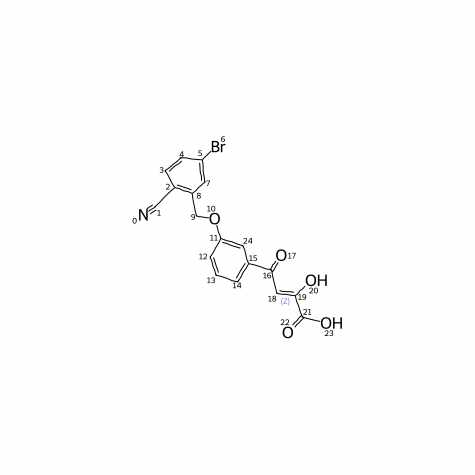 N#Cc1ccc(Br)cc1COc1cccc(C(=O)/C=C(\O)C(=O)O)c1